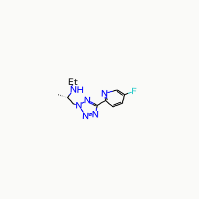 CCN[C@@H](C)Cn1nnc(-c2ccc(F)cn2)n1